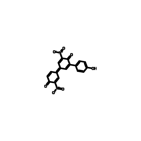 O=C1C=C/C(=C2/C=C(c3ccc(O)cc3)C(=O)C([N+](=O)[O-])=C2)C=C1[N+](=O)[O-]